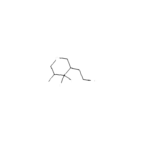 CC1CNCC(CCO)C1(F)F